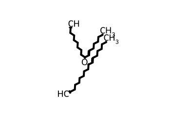 C#CCCCCCCCC(C=CCCCCCC)OC(C=CCCCCCC)CCCCCCCC#C